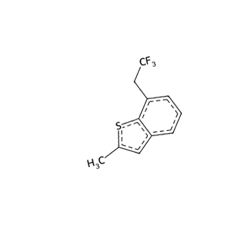 Cc1cc2cccc(CC(F)(F)F)c2s1